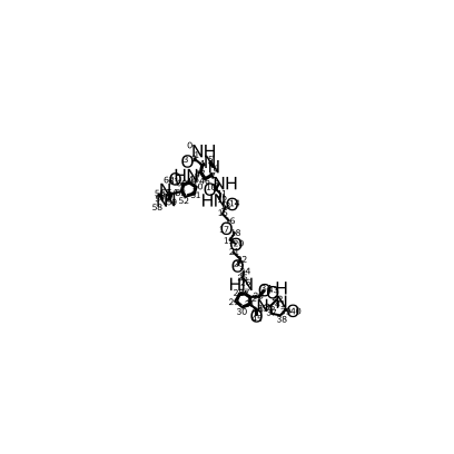 CNC(=O)c1nnc(NC(=O)CNC(=O)CCOCCOCCOCCNc2cccc3c2C(=O)N(C2CCC(=O)NC2=O)C3=O)cc1Nc1cccc(-c2ncn(C)n2)c1OC